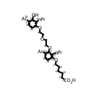 CCCc1c(OCCOCCOc2c(C(C)=O)ccc(OCCCCCC(=O)O)c2CCC)ccc(C(C)=O)c1O